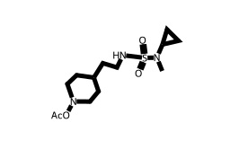 CC(=O)ON1CCC(CCNS(=O)(=O)N(C)C2CC2)CC1